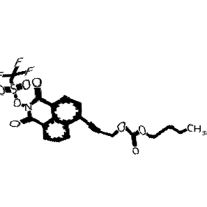 CCCCOC(=O)OCC#Cc1ccc2c3c(cccc13)C(=O)N(OS(=O)(=O)C(F)(F)F)C2=O